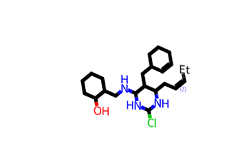 CC/C=C\CC1NC(Cl)NC(NCC2CCCCC2O)C1CC1C=CCCC1